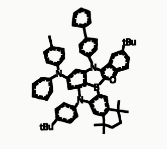 Cc1ccc(N(c2ccccc2)c2cc3c4c(c2)N(c2ccc(-c5ccccc5)cc2)c2c(oc5ccc(C(C)(C)C)cc25)B4c2cc4c(cc2N3c2ccc(C(C)(C)C)cc2)C(C)(C)CCC4(C)C)cc1